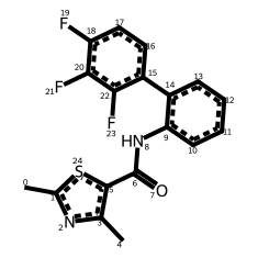 Cc1nc(C)c(C(=O)Nc2ccccc2-c2ccc(F)c(F)c2F)s1